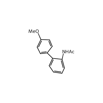 COc1ccc(-c2ccccc2NC(C)=O)cc1